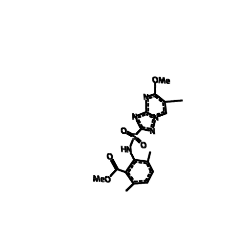 COC(=O)c1c(C)ccc(C)c1NS(=O)(=O)c1nc2nc(OC)c(C)cn2n1